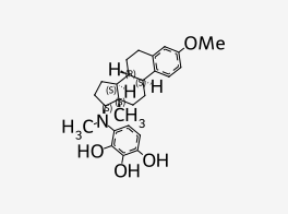 COc1ccc2c(c1)CC[C@@H]1[C@@H]2CC[C@]2(C)[C@@H](N(C)c3ccc(O)c(O)c3O)CC[C@@H]12